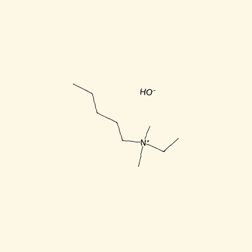 CCCCC[N+](C)(C)CC.[OH-]